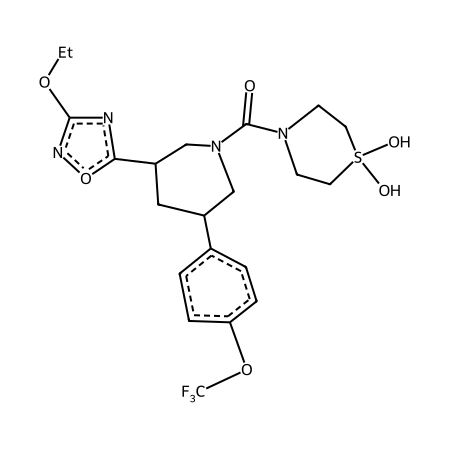 CCOc1noc(C2CC(c3ccc(OC(F)(F)F)cc3)CN(C(=O)N3CCS(O)(O)CC3)C2)n1